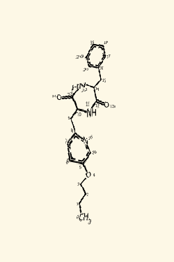 CCCCOc1ccc(CC2NC(=O)C(Cc3ccccc3)NC2=O)nc1